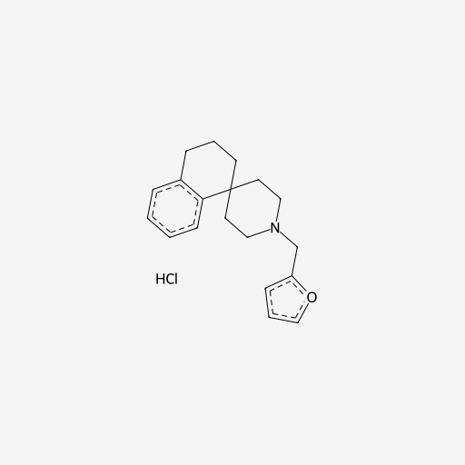 Cl.c1coc(CN2CCC3(CCCc4ccccc43)CC2)c1